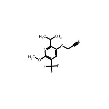 COc1nc(C(C)C)c(SCC#N)cc1C(F)(F)F